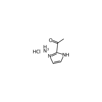 CC(=O)c1ncc[nH]1.Cl.N